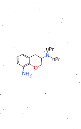 CCCN(CCC)C1COc2c(N)cccc2C1